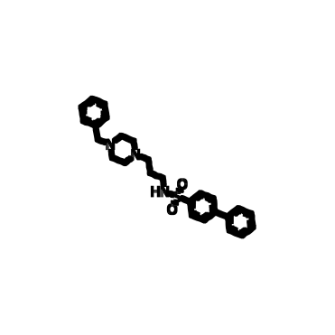 O=S(=O)(NCCCN1CCN(Cc2ccccc2)CC1)c1ccc(-c2ccccc2)cc1